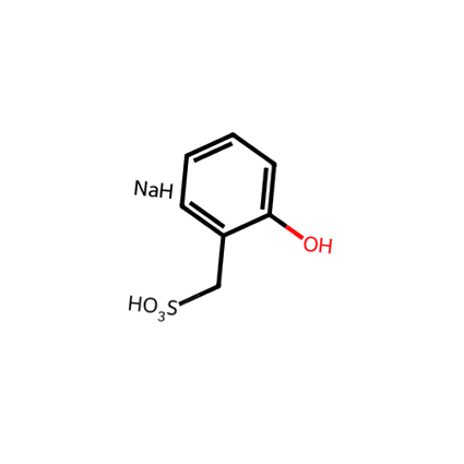 O=S(=O)(O)Cc1ccccc1O.[NaH]